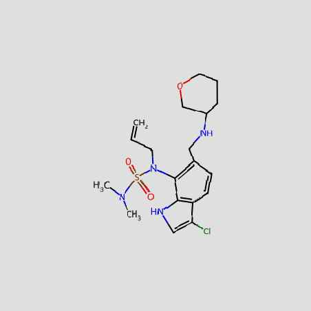 C=CCN(c1c(CNC2CCCOC2)ccc2c(Cl)c[nH]c12)S(=O)(=O)N(C)C